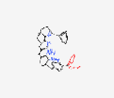 O=C(O)c1ccc2c(c1)NC1=C(CCC3=C1NC1=NC4=C5C(=CCC4CC1=C3)CCC1C(c3ccccc3)N51)C2